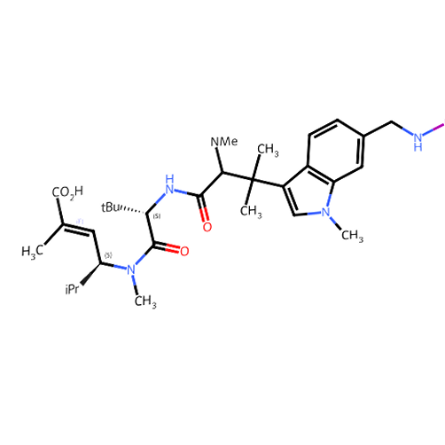 CNC(C(=O)N[C@H](C(=O)N(C)[C@H](/C=C(\C)C(=O)O)C(C)C)C(C)(C)C)C(C)(C)c1cn(C)c2cc(CNI)ccc12